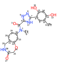 CCN(C(=O)c1nnc(-c2cc(C(C)C)c(O)cc2O)[nH]1)c1ccc2c(c1)OCC(=O)NC2